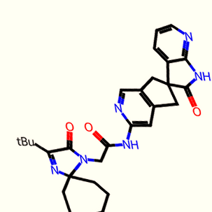 CC(C)(C)C1=NC2(CCCCCC2)N(CC(=O)Nc2cc3c(cn2)CC2(C3)C(=O)Nc3ncccc32)C1=O